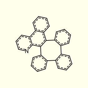 c1ccc2c(c1)-c1ccccc1-c1c(c3ncccc3c3ccccc13)-c1ccccc1-2